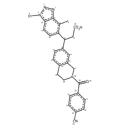 CCn1nnc2c(C)c(C(CC(=O)O)c3ccc4c(c3)CN(C(=O)c3ccc(C#N)cc3)CC4)ccc21